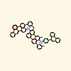 Cc1cc(-c2ccc(N(c3ccc(-c4cc5ccccc5c5ccccc45)cc3)c3c(C)cccc3-c3ccc(-c4ccccc4)cc3)c(C)c2)ccc1N(c1ccc(-c2cc3ccccc3c3ccccc23)cc1)c1c(C)cccc1-c1ccc(-c2ccccc2)cc1